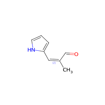 C/C(C=O)=C/c1ccc[nH]1